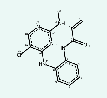 C=CC(=O)Nc1ccccc1Nc1nc(NC)ncc1Cl